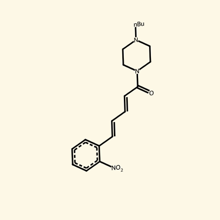 CCCCN1CCN(C(=O)C=CC=Cc2ccccc2[N+](=O)[O-])CC1